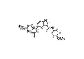 CO[C@H]1CC[C@H](NC(=O)c2cnn3ccc(-c4c[nH]c5nc(NC(C)C)ncc45)cc23)CC1